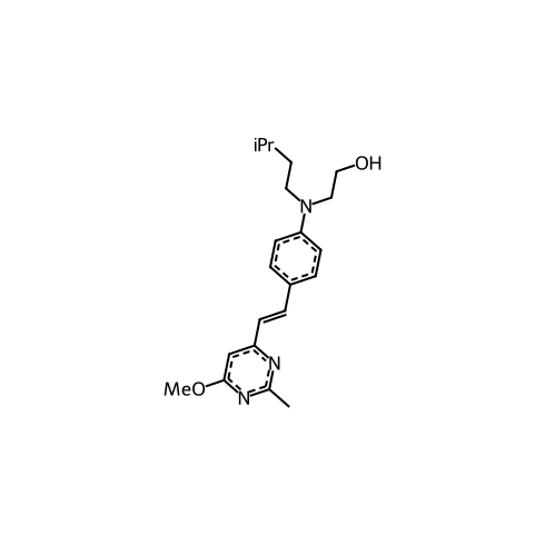 COc1cc(/C=C/c2ccc(N(CCO)CCC(C)C)cc2)nc(C)n1